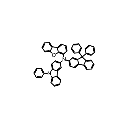 c1ccc(-n2c3ccccc3c3cc(N(c4ccc5c(c4)C(c4ccccc4)(c4ccccc4)c4ccccc4-5)c4cccc5c4oc4ccccc45)ccc32)cc1